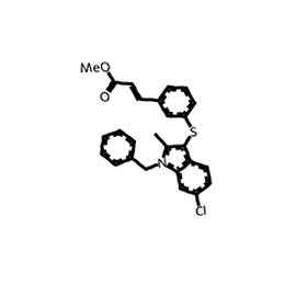 COC(=O)C=Cc1cccc(Sc2c(C)n(Cc3ccccc3)c3cc(Cl)ccc23)c1